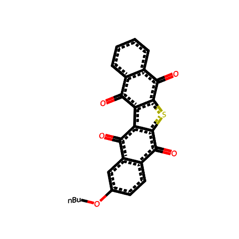 CCCCOc1ccc2c(=O)c3sc4c(=O)c5ccccc5c(=O)c4c3c(=O)c2c1